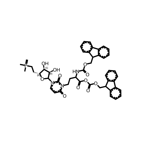 C=P(C)(C)CC[C@H]1OC(n2ccc(=O)n(CCC(NC(=O)OCC3c4ccccc4-c4ccccc43)C(=O)OC(=O)OCC3c4ccccc4-c4ccccc43)c2=O)[C@H](O)[C@@H]1O